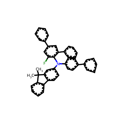 CC1(C)c2ccccc2-c2ccc(N(c3ccc(-c4ccccc4)cc3)c3c(F)cc(-c4ccccc4)cc3-c3ccccc3)cc21